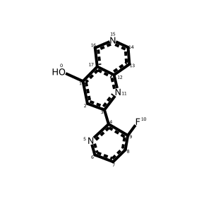 Oc1cc(-c2ncccc2F)nc2ccncc12